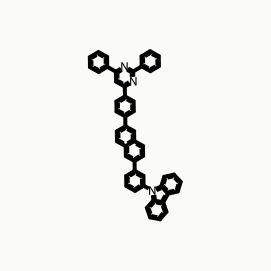 c1ccc(-c2cc(-c3ccc(-c4ccc5cc(-c6cccc(-n7c8ccccc8c8ccccc87)c6)ccc5c4)cc3)nc(-c3ccccc3)n2)cc1